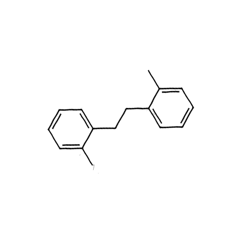 Cc1ccccc1CCc1ccccc1I